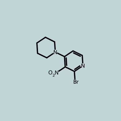 O=[N+]([O-])c1c(N2CCCCC2)ccnc1Br